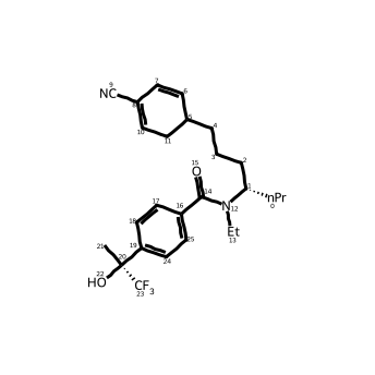 CCC[C@@H](CCCC1C=CC(C#N)=CC1)N(CC)C(=O)c1ccc([C@](C)(O)C(F)(F)F)cc1